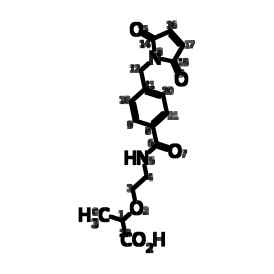 CC(OCCNC(=O)c1ccc(CN2C(=O)C=CC2=O)cc1)C(=O)O